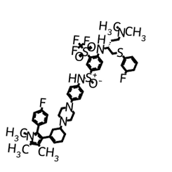 Cc1c(C2=CCCC(N3CCN(c4ccc(N[S+]([O-])c5ccc(N[C@H](CCN(C)C)CSC6=CC(F)CC=C6)c(S(=O)(=O)C(F)(F)F)c5)cc4)CC3)C2)c(-c2ccc(F)cc2)n(C)c1C